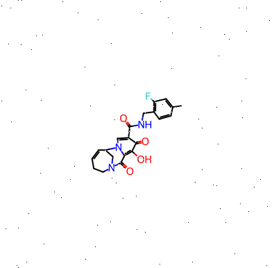 Cc1ccc(CNC(=O)c2cn3c(c(O)c2=O)C(=O)N2CCC=CC3C2)c(F)c1